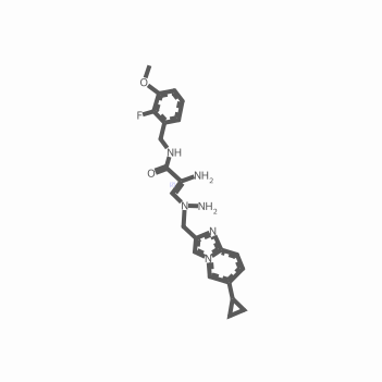 COc1cccc(CNC(=O)/C(N)=C/N(N)Cc2cn3cc(C4CC4)ccc3n2)c1F